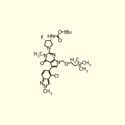 Cn1cc2c(Cl)c(-c3cn(COCC[Si](C)(C)C)c4nc(N5C[C@H](F)[C@H](NC(=O)OC(C)(C)C)C5)n(C)c(=O)c34)ccc2n1